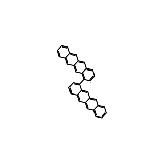 [c]1ccc2cc3cc4ccccc4cc3cc2c1-c1cccc2cc3cc4ccccc4cc3cc12